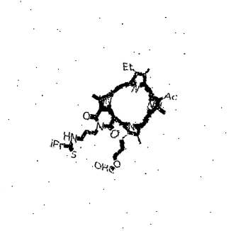 CC[C@H]1c2cc3[nH]c4c(c5nc(cc6[nH]c(cc(n2)[C@@H]1C)c(C(C)=O)c6C)[C@@H](C)[C@@H]5CCCOC=O)C(=O)N(CCCNC(=S)C(C)C)C(=O)c4c3C